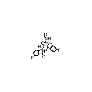 C[C@@](CN1Cc2ccc(F)cc2C1=O)(NC(=O)NC=O)c1ccc(F)cc1